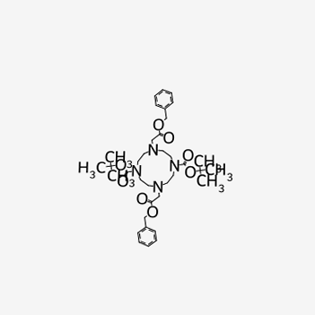 CC(C)(C)OC(=O)N1CCN(CC(=O)OCc2ccccc2)CCN(C(=O)OC(C)(C)C)CCN(CC(=O)OCc2ccccc2)CC1